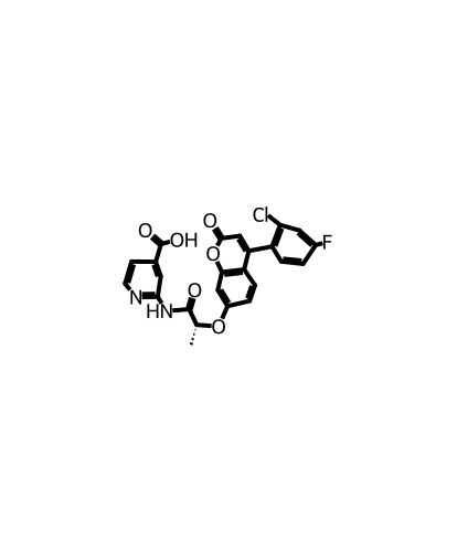 C[C@@H](Oc1ccc2c(-c3ccc(F)cc3Cl)cc(=O)oc2c1)C(=O)Nc1cc(C(=O)O)ccn1